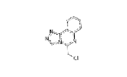 ClCc1nc2ccccc2c2nncn12